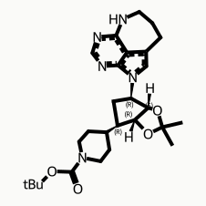 CC(C)(C)OC(=O)N1CCC([C@H]2C[C@@H](n3cc4c5c(ncnc53)NCCC4)[C@@H]3OC(C)(C)O[C@@H]32)CC1